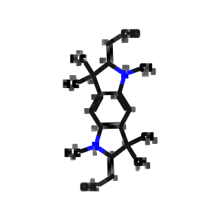 CN1C(=CC=O)C(C)(C)c2cc3c(cc21)C(C)(C)C(=CC=O)N3C